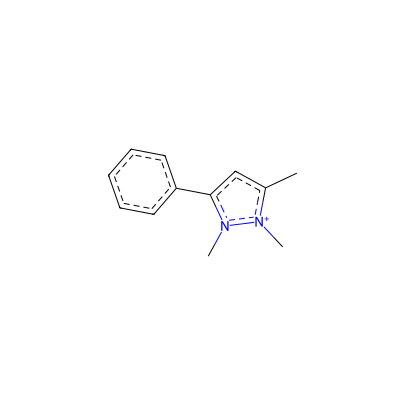 Cc1cc(-c2ccccc2)n(C)[n+]1C